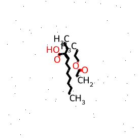 C=CC(=O)OCCCC.CCCCCCCCC=C(CCC)C(=O)O